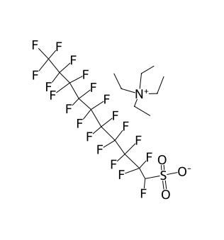 CC[N+](CC)(CC)CC.O=S(=O)([O-])C(F)C(F)(F)C(F)(F)C(F)(F)C(F)(F)C(F)(F)C(F)(F)C(F)(F)C(F)(F)C(F)(F)F